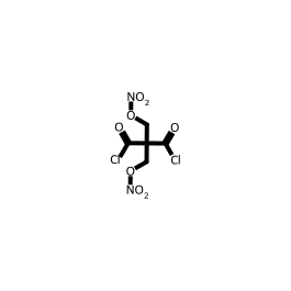 O=C(Cl)C(CO[N+](=O)[O-])(CO[N+](=O)[O-])C(=O)Cl